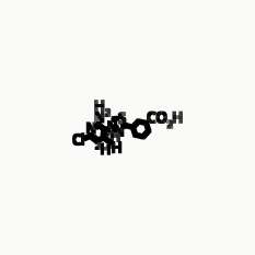 [2H]C([2H])([2H])c1cc(Cl)nc(N)c1N1CSC(C2CCCC(C(=O)O)C2)=N1